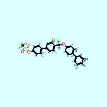 O=S(=O)(Oc1ccc(-c2cc(F)c(C(F)(F)Oc3ccc(-c4cc(F)c(F)c(F)c4)c(F)c3)c(F)c2)c(F)c1)C(F)(F)F